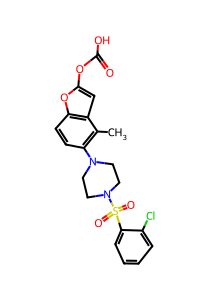 Cc1c(N2CCN(S(=O)(=O)c3ccccc3Cl)CC2)ccc2oc(OC(=O)O)cc12